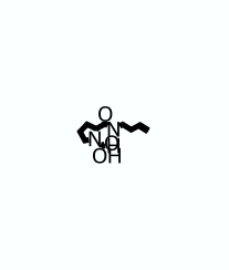 C=CCCNC(=O)C1CCCN1C(=O)O